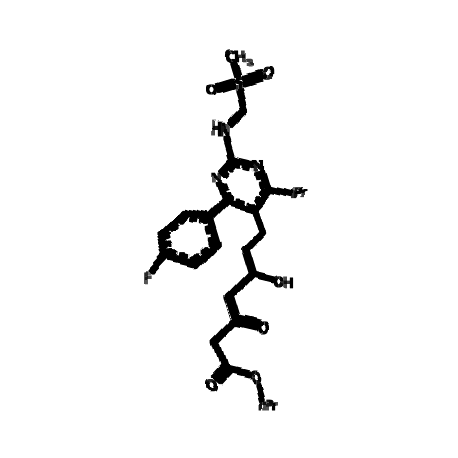 CCCOC(=O)CC(=O)CC(O)CCc1c(-c2ccc(F)cc2)nc(NCS(C)(=O)=O)nc1C(C)C